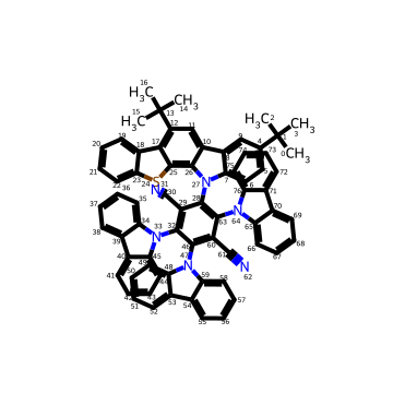 CC(C)(C)c1ccc2c(c1)c1cc(C(C)(C)C)c3c4ccccc4sc3c1n2-c1c(C#N)c(-n2c3ccccc3c3ccccc32)c(-n2c3ccccc3c3ccccc32)c(C#N)c1-n1c2ccccc2c2ccccc21